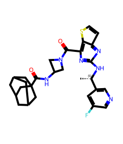 C[C@H](Nc1nc(C(=O)N2CC(NC(=O)C34CC5CC(CC(C5)C3)C4)C2)c2sccc2n1)c1cncc(F)c1